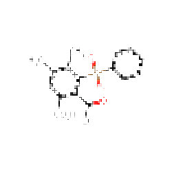 CCC(=O)c1c(C(=O)O)cc(C)c(C)c1S(=O)(=O)c1ccccc1